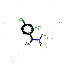 CC(=O)C(c1ccc(Cl)cc1)N(C)C.Cl